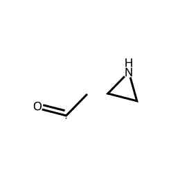 C1CN1.C[C]=O